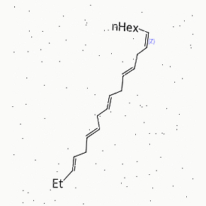 [CH2]CCCCC/C=C\CC=CCC=CCC=CCC=CCC